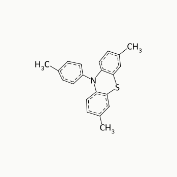 Cc1ccc(N2c3ccc(C)cc3Sc3cc(C)ccc32)cc1